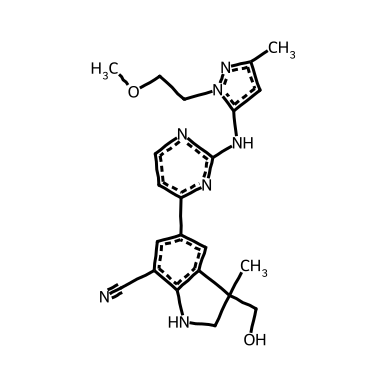 COCCn1nc(C)cc1Nc1nccc(-c2cc(C#N)c3c(c2)C(C)(CO)CN3)n1